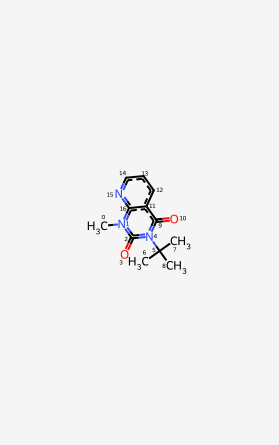 Cn1c(=O)n(C(C)(C)C)c(=O)c2cccnc21